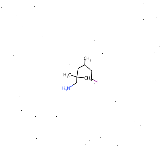 CC(CCI)CC(C)(C)CN